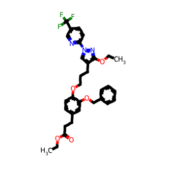 CCOC(=O)CCc1ccc(OCCCc2cn(-c3ccc(C(F)(F)F)cn3)nc2OCC)c(OCc2ccccc2)c1